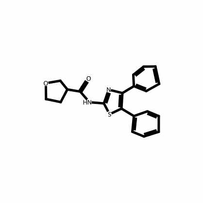 O=C(Nc1nc(-c2ccccc2)c(-c2ccccc2)s1)C1CCOC1